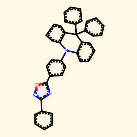 c1ccc(-c2noc(-c3ccc(N4c5ccccc5C(c5ccccc5)(c5ccccc5)c5ccccc54)cc3)n2)cc1